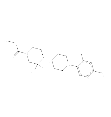 CC(C)(C)OC(=O)N1CC[C@H](C2CCN(c3ccc(N)cc3F)CC2)C(F)(F)C1